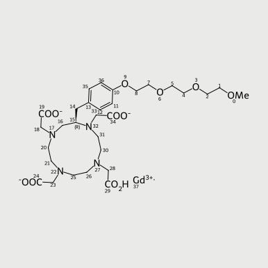 COCCOCCOCCOc1ccc(C[C@@H]2CN(CC(=O)[O-])CCN(CC(=O)[O-])CCN(CC(=O)O)CCN2CC(=O)[O-])cc1.[Gd+3]